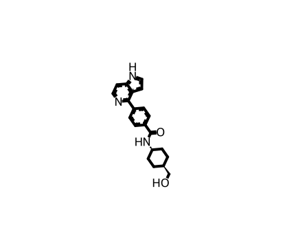 O=C(N[C@H]1CC[C@H](CO)CC1)c1ccc(-c2nccc3[nH]ccc23)cc1